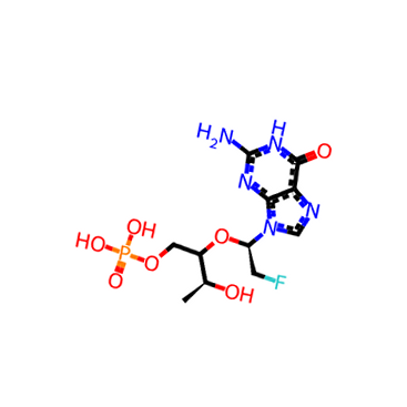 C[C@H](O)C(COP(=O)(O)O)O[C@H](CF)n1cnc2c(=O)[nH]c(N)nc21